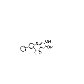 CCC1C(=O)C2=CC(O)C(O)C=C2Sc2ccc(-c3ccccc3)cc21